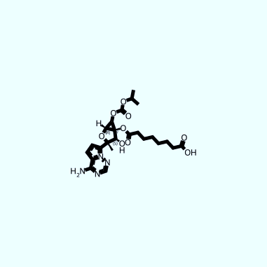 CC(C)OC(=O)OC1[C@H]2O[C@@](C)(c3ccc4c(N)ncnn34)[C@H](O)[C@@]12OC(=O)CCCCCCC(=O)O